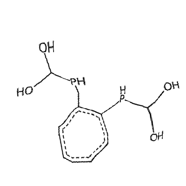 OC(O)Pc1ccccc1PC(O)O